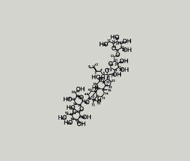 CC(C)=CCC[C@](C)(O[C@@H]1OC(CO[C@@H]2OC(CO)[C@@H](O)[C@H](O)C2O)[C@@H](O)[C@H](O)C1O)[C@H]1CC[C@]2(C)[C@@H]1[C@H](O)C[C@@H]1[C@@]3(C)CC[C@H](O[C@@H]4OC(CO)[C@@H](O)[C@H](O)C4O[C@@H]4OC(CO)[C@@H](O)[C@H](O)C4O)C(C)(C)[C@@H]3CC[C@]12C